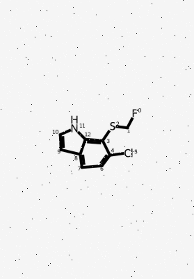 FCSc1c(Cl)ccc2cc[nH]c12